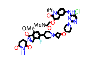 CNC(=O)COc1cc2cc(Nc3nc(N4CCC(OC5CC(N6CCC(c7cc(OC)c8c(c7F)CN([C@H]7CCC(=O)NC7=O)C8=O)CC6)C5)CC4)ncc3Cl)ccc2n(C(C)C)c1=O